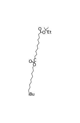 CCC(C)CCCCCCCCCOC(=O)CCCCCCCCCCC(=O)OC(C)(C)CC